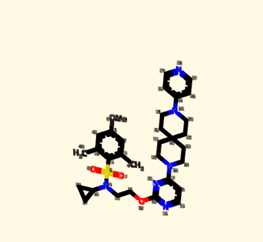 COc1cc(C)c(S(=O)(=O)N(CCOc2nccc(N3CCC4(CCN(c5ccncc5)CC4)CC3)n2)C2CC2)c(C)c1